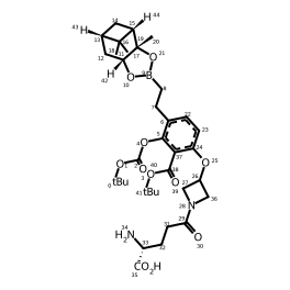 CC(C)(C)OC(=O)Oc1c(CCB2O[C@@H]3C[C@@H]4C[C@@H](C4(C)C)[C@]3(C)O2)ccc(OC2CN(C(=O)CC[C@@H](N)C(=O)O)C2)c1C(=O)OC(C)(C)C